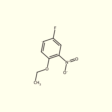 CCOc1c[c]c(F)cc1[N+](=O)[O-]